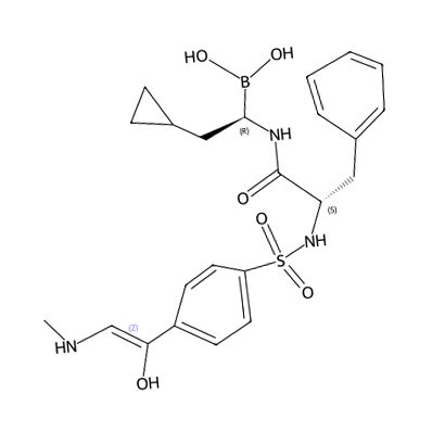 CN/C=C(\O)c1ccc(S(=O)(=O)N[C@@H](Cc2ccccc2)C(=O)N[C@@H](CC2CC2)B(O)O)cc1